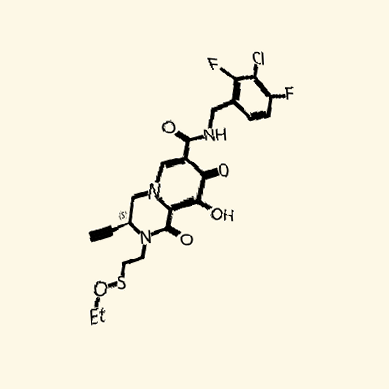 C#C[C@H]1Cn2cc(C(=O)NCc3ccc(F)c(Cl)c3F)c(=O)c(O)c2C(=O)N1CCSOCC